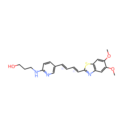 COc1cc2nc(/C=C/C=C/c3ccc(NCCCO)nc3)sc2cc1OC